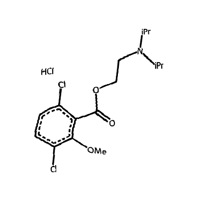 COc1c(Cl)ccc(Cl)c1C(=O)OCCN(C(C)C)C(C)C.Cl